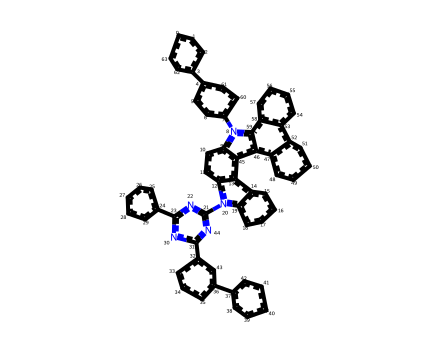 c1ccc(-c2ccc(-n3c4ccc5c(c6ccccc6n5-c5nc(-c6ccccc6)nc(-c6cccc(-c7ccccc7)c6)n5)c4c4c5ccccc5c5ccccc5c43)cc2)cc1